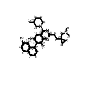 CCc1c(F)ccc2cccc(-c3c(F)cc4c(N5CCCC(C)C5)nc(CCC5(CN(C)C)CC5)nc4c3F)c12